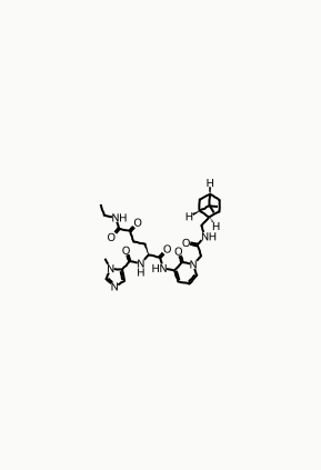 CCNC(=O)C(=O)CC[C@H](NC(=O)c1cncn1C)C(=O)Nc1cccn(CC(=O)NC[C@@H]2CC[C@H]3C[C@@H]2C3(C)C)c1=O